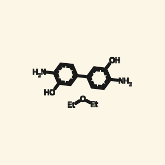 CCOCC.Nc1ccc(-c2ccc(N)c(O)c2)cc1O